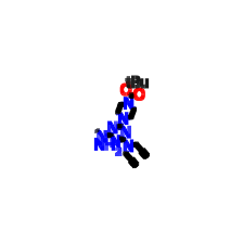 C#CCN(CC#C)c1nc(N(C)N)nc(N2CCN(C(=O)OC(C)(C)C)CC2)n1